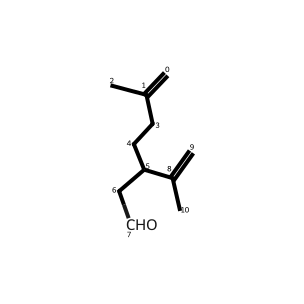 C=C(C)CCC(CC=O)C(=C)C